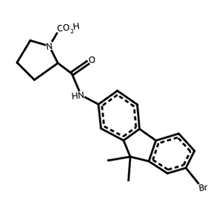 CC1(C)c2cc(Br)ccc2-c2ccc(NC(=O)C3CCCN3C(=O)O)cc21